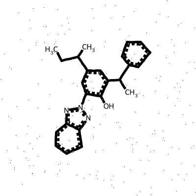 CCC(C)c1cc(C(C)c2ccccc2)c(O)c(-n2nc3ccccc3n2)c1